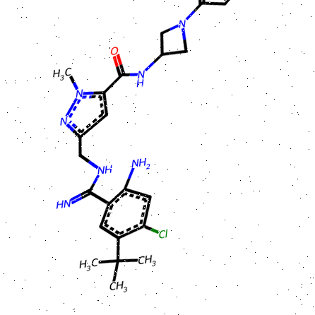 C=CC(=O)N1CC(NC(=O)c2cc(CNC(=N)c3cc(C(C)(C)C)c(Cl)cc3N)nn2C)C1